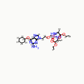 CCOC(=O)[C@H](C)NP(=O)(COCCn1cnc2c(OC3CCCCC3)nc(N)nc21)N[C@@H](C)C(=O)OCC